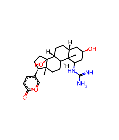 C[C@]12C(NC(=N)N)C[C@H](O)C[C@H]1CC[C@@H]1[C@@H]2CC[C@]2(C)[C@@H](c3ccc(=O)oc3)CC[C@]12O